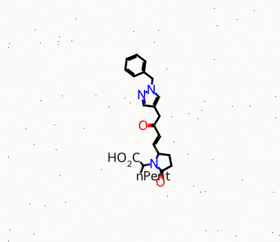 CCCCCC(C(=O)O)N1C(=O)CCC1C=CC(=O)Cc1cnn(Cc2ccccc2)c1